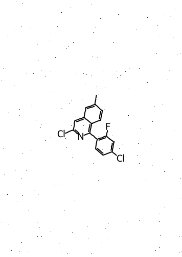 Cc1ccc2c(-c3ccc(Cl)cc3F)nc(Cl)cc2c1